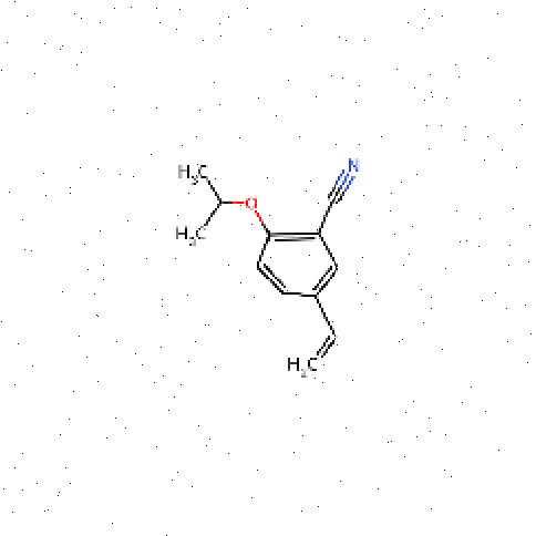 C=Cc1ccc(OC(C)C)c(C#N)c1